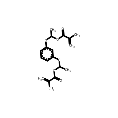 C=C(C)C(=O)OC(C)Oc1cccc(OC(C)OC(=O)C(=C)C)c1